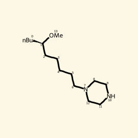 CCCC[C@H](CCCCCN1CCNCC1)OC